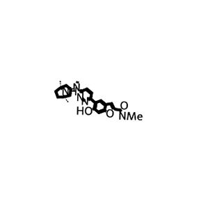 CNC(=O)c1cc2cc(-c3ccc(N(C)[C@H]4C[C@]5(C)CC[C@](C)(C4)N5)nn3)c(O)cc2o1